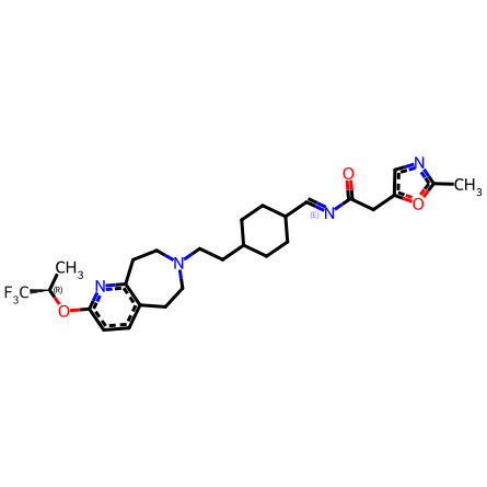 Cc1ncc(CC(=O)/N=C/C2CCC(CCN3CCc4ccc(O[C@H](C)C(F)(F)F)nc4CC3)CC2)o1